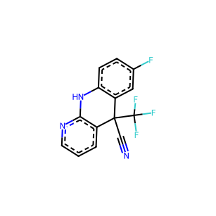 N#CC1(C(F)(F)F)c2cc(F)ccc2Nc2ncccc21